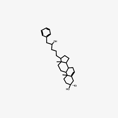 CC[C@]1(O)CCC2(C)C(=CCC3C2CCC2(C)C(CCCC(O)Cc4ccccc4)CCC32)C1